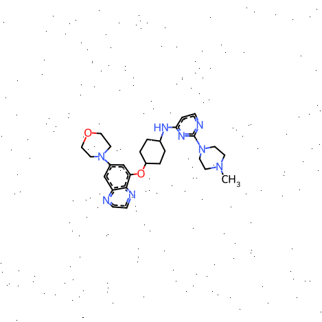 CN1CCN(c2nccc(NC3CCC(Oc4cc(N5CCOCC5)cc5nccnc45)CC3)n2)CC1